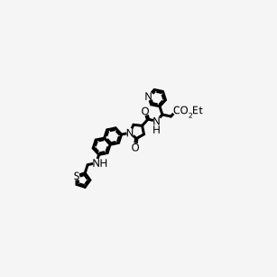 CCOC(=O)CC(NC(=O)C1CC(=O)N(c2ccc3ccc(NCc4cccs4)cc3c2)C1)c1cccnc1